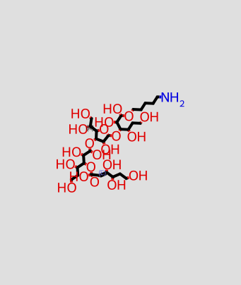 NCCCCCOC(O)C(O)C(OC1OC([C@H](O)CO)C(OC(O)C(O)C(OC2(O)O/C2=C(/O)C(O)CCO)C(O)CCO)C1O)C(O)CCO